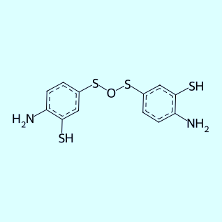 Nc1ccc(SOSc2ccc(N)c(S)c2)cc1S